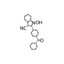 N#Cc1c(-c2ccc(C(=O)c3ccccc3)cc2)n(O)c2ccccc12